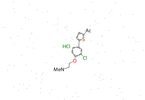 CNCCOc1ccc(-c2ccc(C(C)=O)s2)cc1Cl.Cl